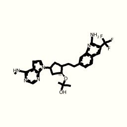 CNc1ncnc2c1ccn2C1CC(CCc2ccc3cc(C(F)(F)F)c(N)nc3c2)[C@@H](OC(C)(C)O)C1